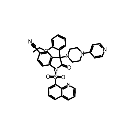 CCOc1ccccc1C1(N2CCN(c3ccncc3)CC2)C(=O)N(S(=O)(=O)c2cccc3cccnc23)c2ccc(C#N)cc21